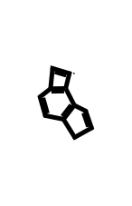 [C]1=Cc2ccc3c(c21)C=CC3